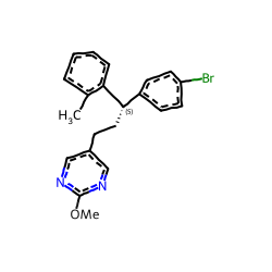 COc1ncc(CC[C@@H](c2ccc(Br)cc2)c2ccccc2C)cn1